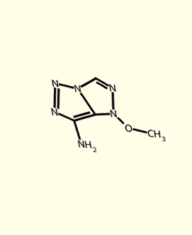 COn1ncn2nnc(N)c12